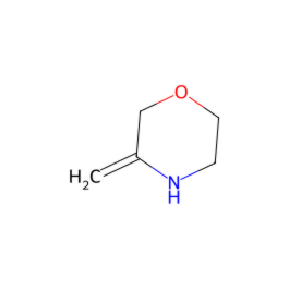 C=C1COCCN1